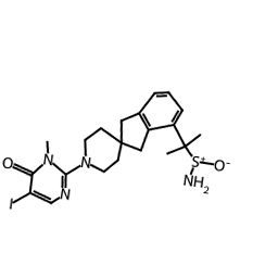 Cn1c(N2CCC3(CC2)Cc2cccc(C(C)(C)[S+](N)[O-])c2C3)ncc(I)c1=O